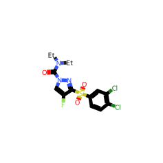 CCN(CC)C(=O)n1cc(F)c(S(=O)(=O)c2ccc(Cl)c(Cl)c2)n1